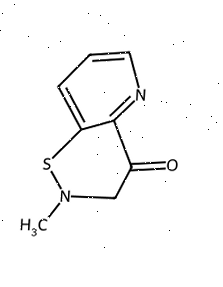 CN1CC(=O)c2ncccc2S1